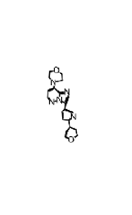 c1cc(N2CCOCC2)c2ncc(-c3ccc(C4CCOCC4)nc3)n2n1